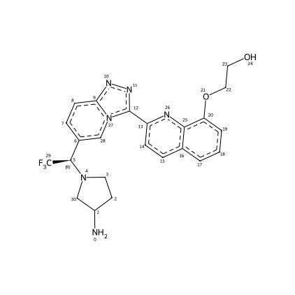 NC1CCN([C@H](c2ccc3nnc(-c4ccc5cccc(OCCO)c5n4)n3c2)C(F)(F)F)C1